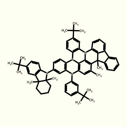 Cc1cc2c3c4c1C1(C)c5ccccc5-c5cccc(c51)N4c1cc(C(C)(C)C)ccc1B3c1ccc(N3c4ccc(C(C)(C)C)cc4C4(C)CCCCC34C)cc1N2c1cccc(C(C)(C)C)c1